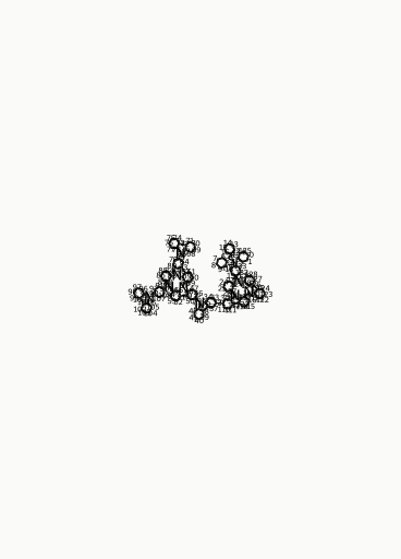 c1ccc([Si](c2ccccc2)(c2ccccc2)c2ccc(-n3c4ccccc4n4c5cc(-c6ccc7c(c6)c6ccccc6n7-c6ccc7c(c6)c6cccc8c6n7c6cccc7c9cc(-n%10c%11ccccc%11c%11ccccc%11%10)ccc9n(c9ccccc9n8-c8ccc(-n9c%10ccccc%10c%10ccccc%109)cc8)c76)ccc5c5cccc(c54)n4c5ccccc5c5cccc3c54)cc2)cc1